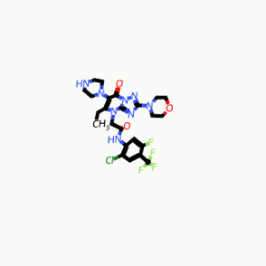 CCc1c(N2CCNCC2)c(=O)n2nc(N3CCOCC3)nc2n1CC(=O)Nc1cc(F)c(C(F)(F)F)cc1Cl